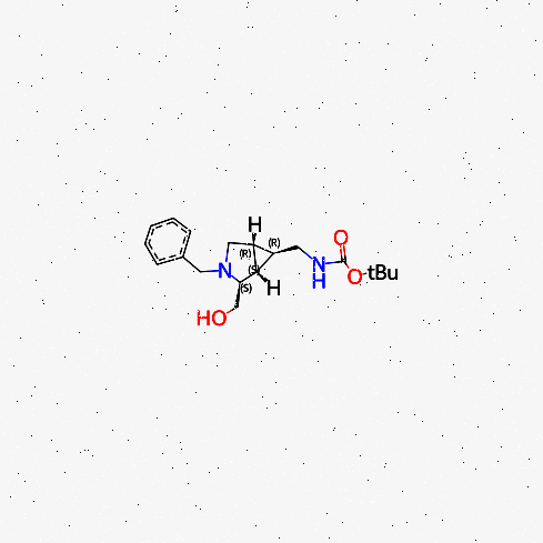 CC(C)(C)OC(=O)NC[C@@H]1[C@H]2CN(Cc3ccccc3)[C@H](CO)[C@@H]12